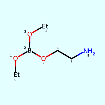 CCOB(OCC)OCCN